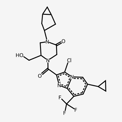 O=C1CN(C(=O)c2nc3c(C(F)(F)F)cc(C4CC4)cn3c2Cl)C(CO)CN1C1CC2CC2C1